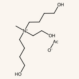 CC(=O)[O-].C[N+](CCO)(CCCCO)CCCCO